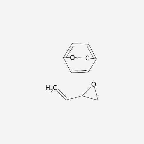 C=CC1CO1.c1cc2ccc1CO2